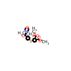 CCOC(=O)c1ccc(Sc2ccc(C(=O)C(C)(C)N3CCOCC3)cc2)cc1C(=O)OCC